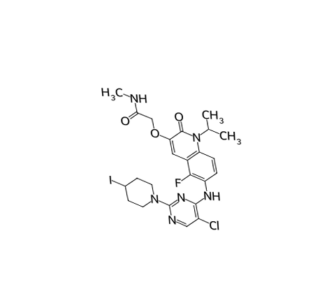 CNC(=O)COc1cc2c(F)c(Nc3nc(N4CCC(I)CC4)ncc3Cl)ccc2n(C(C)C)c1=O